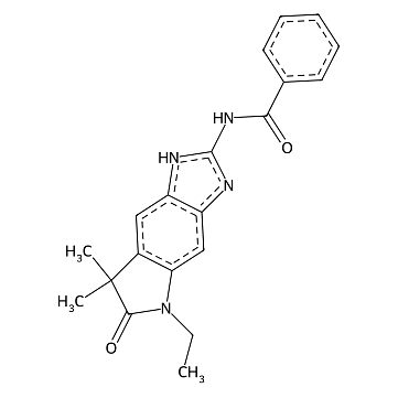 CCN1C(=O)C(C)(C)c2cc3[nH]c(NC(=O)c4ccccc4)nc3cc21